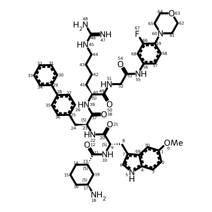 COc1ccc2[nH]cc(C[C@H](NC(=O)[C@H]3CCC[C@H](N)C3)C(=O)N[C@@H](Cc3ccc(-c4ccccc4)cc3)C(=O)N[C@@H](CCCCNC(=N)N)C(=O)NCC(=O)Nc3ccc(N4CCOCC4)c(F)c3)c2c1